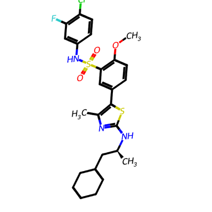 COc1ccc(-c2sc(N[C@@H](C)CC3CCCCC3)nc2C)cc1S(=O)(=O)Nc1ccc(Cl)c(F)c1